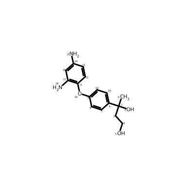 CC(O)(CCO)c1ccc(Oc2ccc(N)cc2N)cc1